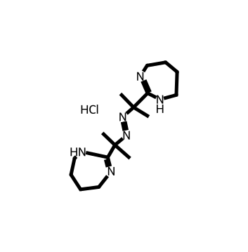 CC(C)(N=NC(C)(C)C1=NCCCCN1)C1=NCCCCN1.Cl